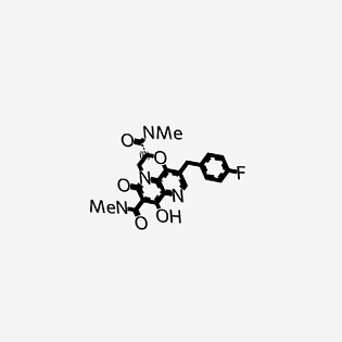 CNC(=O)c1c(O)c2ncc(Cc3ccc(F)cc3)c3c2n(c1=O)C[C@H](C(=O)NC)O3